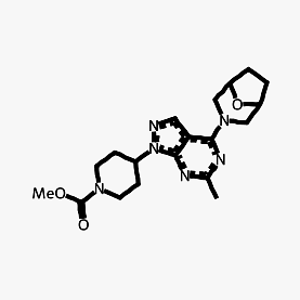 COC(=O)N1CCC(n2ncc3c(N4CC5CCC(C4)O5)nc(C)nc32)CC1